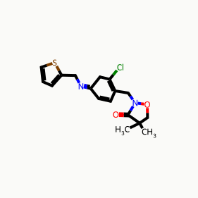 CC1(C)CON(CC2=C(Cl)CC(=NCc3cccs3)C=C2)C1=O